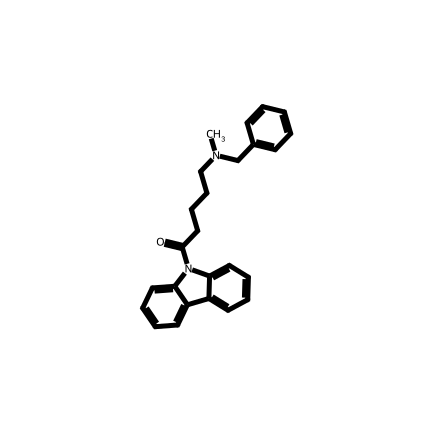 CN(CCCCC(=O)n1c2ccccc2c2ccccc21)Cc1ccccc1